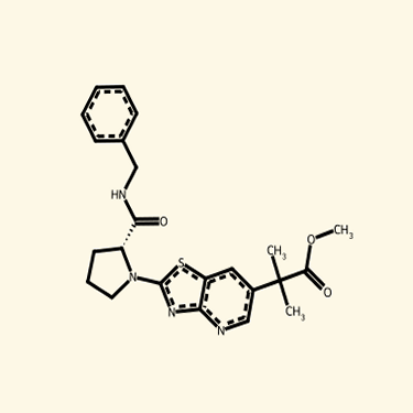 COC(=O)C(C)(C)c1cnc2nc(N3CCC[C@@H]3C(=O)NCc3ccccc3)sc2c1